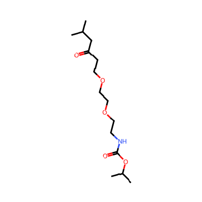 CC(C)CC(=O)CCOCCOCCNC(=O)OC(C)C